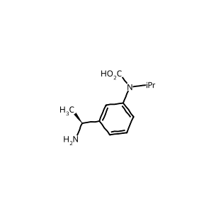 CC(C)N(C(=O)O)c1cccc([C@H](C)N)c1